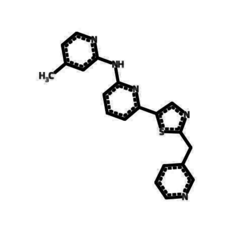 Cc1ccnc(Nc2cccc(-c3cnc(Cc4cccnc4)s3)n2)c1